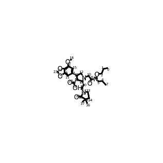 CCCON(CCC)C(=O)CN1C[C@H](c2cc(OC)c3c(c2)OCO3)[C@@H](C(=O)O)[C@@H]1CCN1CCC(C)(C)C1=O